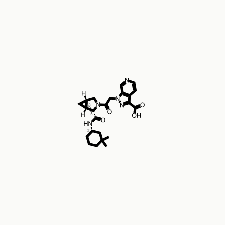 CC1(C)CCC[C@H](NC(=O)[C@@H]2[C@@H]3C[C@@H]3CN2C(=O)Cn2nc(C(=O)O)c3ccncc32)C1